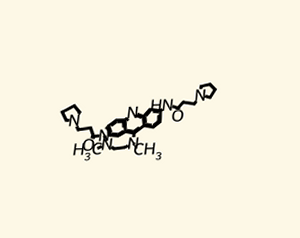 CN1CCN(C)N(C(=O)CCN2CCCC2)c2ccc3c1c1ccc(NC(=O)CCN4CCCC4)cc1nc3c2